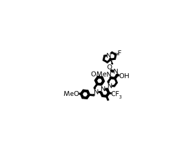 COc1ccc(CN(Cc2ccc(OC)cc2)c2cc(C)c(C(F)(F)F)c(N3CCc4c(O)nc(OC[C@@]56CCCN5C[C@H](F)C6)nc4C3)n2)cc1